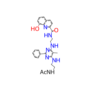 CC(=O)NCCNc1nc(-c2ccccc2)nc(NCCNC(=O)c2ccc3cccc(O)c3n2)c1C